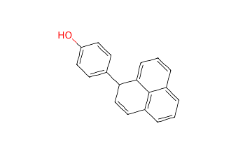 Oc1ccc(C2C=Cc3cccc4cccc2c34)cc1